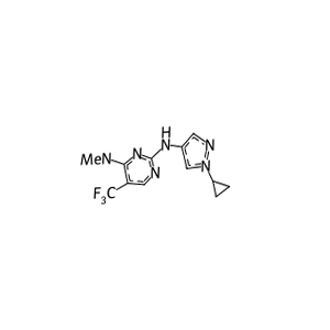 CNc1nc(Nc2cnn(C3CC3)c2)ncc1C(F)(F)F